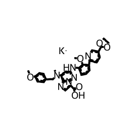 COc1ccc(CN(C)c2cc(Nc3cccc(-c4ccc(C5OCCO5)cn4)c3OC)nn3c(C(=O)O)cnc23)cc1.[K]